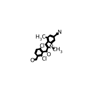 Cc1cc(C#N)cc2c1cc(C(=O)c1c(Cl)ccc(C=O)c1Cl)n2C